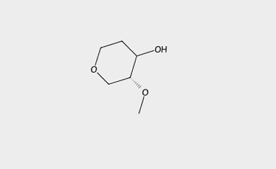 CO[C@@H]1COCCC1O